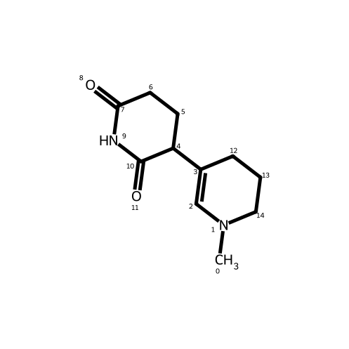 CN1C=C(C2CCC(=O)NC2=O)CCC1